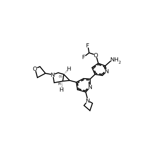 Nc1ncc(-c2cc(C3[C@H]4CN(C5COC5)C[C@@H]34)cc(N3CCC3)n2)cc1OC(F)F